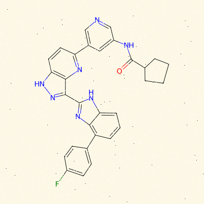 O=C(Nc1cncc(-c2ccc3[nH]nc(-c4nc5c(-c6ccc(F)cc6)cccc5[nH]4)c3n2)c1)C1CCCC1